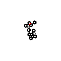 c1ccc(-c2ccc(N(c3ccc(-c4cccc5c4-c4c(oc6ccccc46)C54c5ccccc5-c5ccccc54)cc3)c3ccccc3-c3ccccc3)cc2)cc1